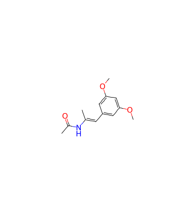 COc1cc(/C=C(\C)NC(C)=O)cc(OC)c1